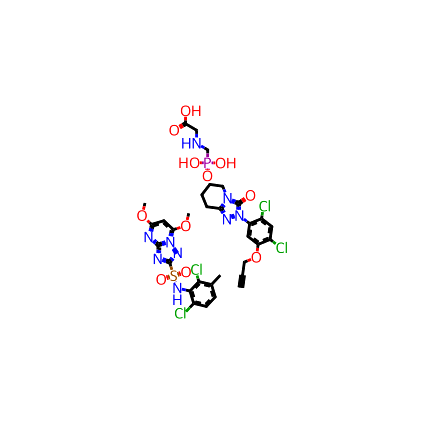 C#CCOc1cc(-n2nc3n(c2=O)CCCC3)c(Cl)cc1Cl.COc1cc(OC)n2nc(S(=O)(=O)Nc3c(Cl)ccc(C)c3Cl)nc2n1.O=C(O)CNCP(=O)(O)O